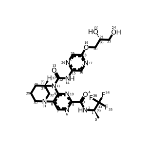 C[C@@H](NC(=O)c1ncc2c(n1)N(C(=O)Nc1cnc(OC[C@H](O)CO)cn1)[C@H]1CCCN2C1)C(F)(F)F